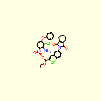 CCOC(=O)/C(Cl)=C/c1cc(N2C(=O)C3=C(CCCC3)C2=O)ccc1Cl.Nc1c([N+](=O)[O-])ccc(Oc2ccccc2)c1Cl